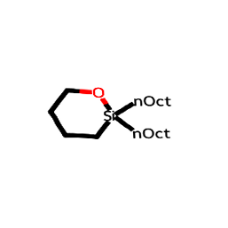 CCCCCCCC[Si]1(CCCCCCCC)CCCCO1